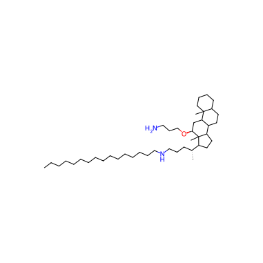 CCCCCCCCCCCCCCCCNCCC[C@@H](C)C1CCC2C3CCC4CCCCC4(C)C3C[C@H](OCCCN)C21C